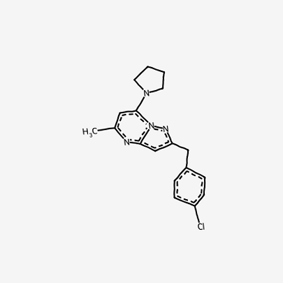 Cc1cc(N2CCCC2)n2nc(Cc3ccc(Cl)cc3)cc2n1